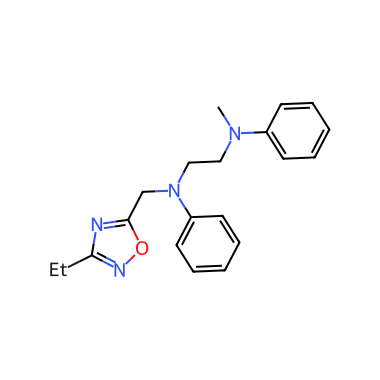 CCc1noc(CN(CCN(C)c2ccccc2)c2ccccc2)n1